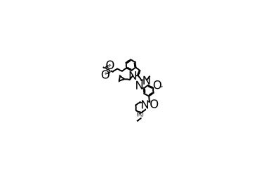 CC[C@@H]1CCCN(C(=O)c2cc(OC)c3c(c2)nc(-c2cc4cccc(CCCS(C)(=O)=O)c4n2CC2CC2)n3C)C1